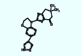 CC1(C)CC(=O)c2sc(N3CCOc4cc(-c5cn[nH]c5)ccc43)nc2C1